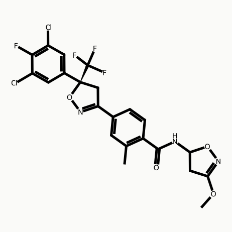 COC1=NOC(NC(=O)c2ccc(C3=NO[C@@](c4cc(Cl)c(F)c(Cl)c4)(C(F)(F)F)C3)cc2C)C1